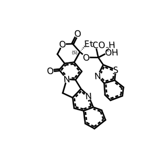 CC[C@@]1(OC(O)(C(=O)O)c2nc3ccccc3s2)C(=O)OCc2c1cc1n(c2=O)Cc2cc3ccccc3nc2-1